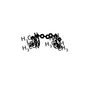 COC(=O)NC(C(=O)N1C[C@H](C)C[C@H]1c1ncc(-c2ccc(-c3ccc4cc(-c5cnc([C@@H]6CCCN6C(=O)C(NC(=O)OC)C(C)C)[nH]5)ccc4c3)cc2)[nH]1)c1cnccn1